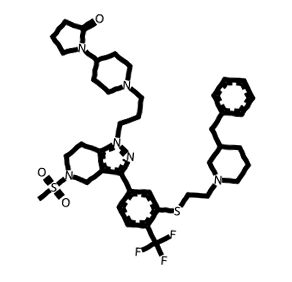 CS(=O)(=O)N1CCc2c(c(-c3ccc(C(F)(F)F)c(SCCN4CCCC(Cc5ccccc5)C4)c3)nn2CCCN2CCC(N3CCCC3=O)CC2)C1